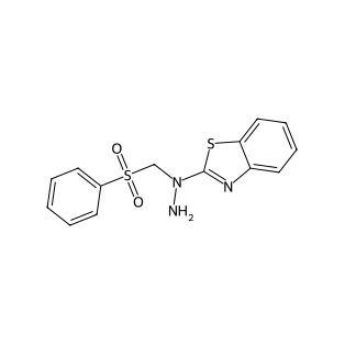 NN(CS(=O)(=O)c1ccccc1)c1nc2ccccc2s1